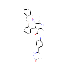 CC1=C(C(=O)Nc2ccc(C3=NNC(=O)CC3)cc2)C(c2ccccc2SCc2ccccc2)C([N+](=O)[O-])=C(C)N1